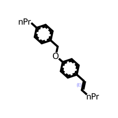 CCC/C=C/c1ccc(OCc2ccc(CCC)cc2)cc1